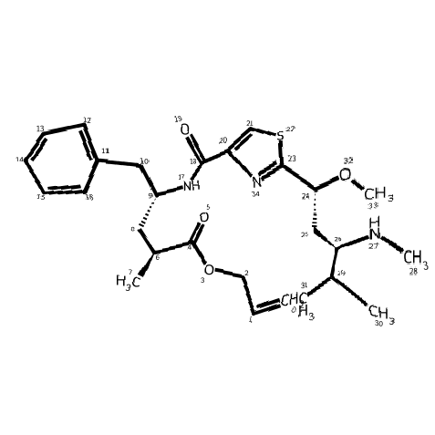 C=CCOC(=O)[C@@H](C)C[C@H](Cc1ccccc1)NC(=O)c1csc([C@@H](C[C@@H](NC)C(C)C)OC)n1